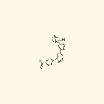 O=[N+]([O-])c1ccc(-c2cccc(-c3cn([C@H]4CN5CCC4CC5)nn3)c2)cn1